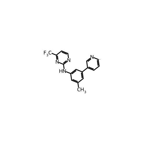 Cc1cc(Nc2nccc(C(F)(F)F)n2)cc(-c2cc[c]nc2)c1